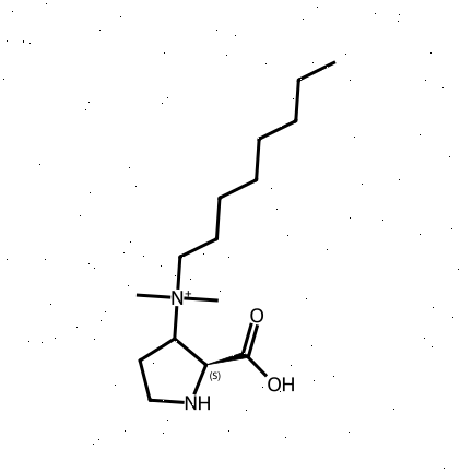 CCCCCCCC[N+](C)(C)C1CCN[C@@H]1C(=O)O